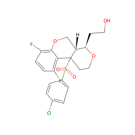 O=S(=O)(c1ccc(Cl)cc1)C12CCO[C@H](CCO)[C@H]1COc1c(F)ccc(F)c12